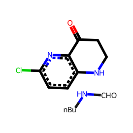 CCCCNC=O.O=C1CCNc2ccc(Cl)nc21